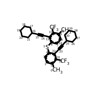 Cc1ccc(Sc2ccc(C)c(C(F)(F)F)c2C#CC2CCCCC2)c(C#CC2CCCCC2)c1C(F)(F)F